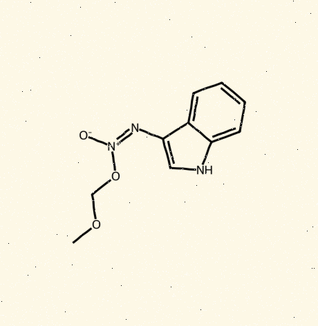 COCO[N+]([O-])=Nc1c[nH]c2ccccc12